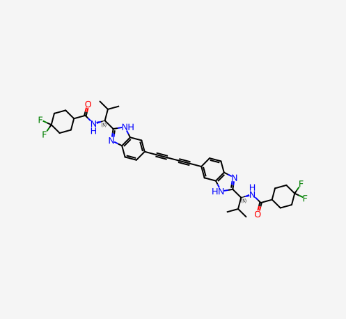 CC(C)[C@H](NC(=O)C1CCC(F)(F)CC1)c1nc2ccc(C#CC#Cc3ccc4nc([C@@H](NC(=O)C5CCC(F)(F)CC5)C(C)C)[nH]c4c3)cc2[nH]1